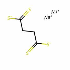 S=C([S-])CCC(=S)[S-].[Na+].[Na+]